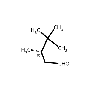 C[C@@H](CC=O)C(C)(C)C